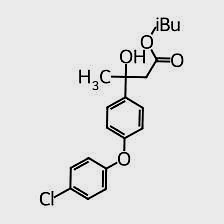 CCC(C)OC(=O)CC(C)(O)c1ccc(Oc2ccc(Cl)cc2)cc1